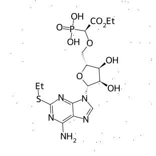 CCOC(=O)[C@@H](OC[C@H]1O[C@@H](n2cnc3c(N)nc(SCC)nc32)[C@H](O)[C@@H]1O)P(=O)(O)O